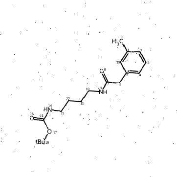 Cc1cccc(CC(=O)NCCCCNC(=O)OC(C)(C)C)c1